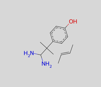 CC(C)(c1ccc(O)cc1)C(N)N.CC=CC